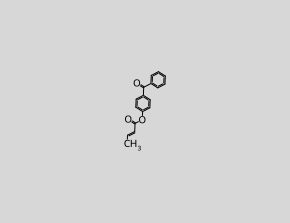 CC=CC(=O)Oc1ccc(C(=O)c2ccccc2)cc1